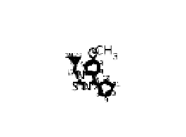 COc1ccc2c(-c3ccccc3)nc(=S)n(CC3CC3)c2c1